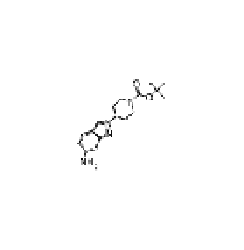 CC(C)(C)OC(=O)N1CCC(n2cc3ccc(N)cc3n2)CC1